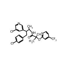 CC(NC(=O)C(C)(C)Oc1cc(C(F)(F)F)ccn1)C(Cc1ccc(Cl)cc1)c1cncc(Cl)c1